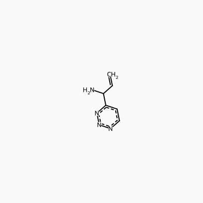 C=CC(N)c1ccnnn1